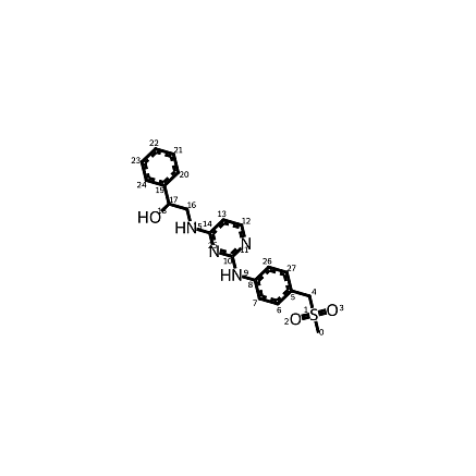 CS(=O)(=O)Cc1ccc(Nc2nccc(NCC(O)c3ccccc3)n2)cc1